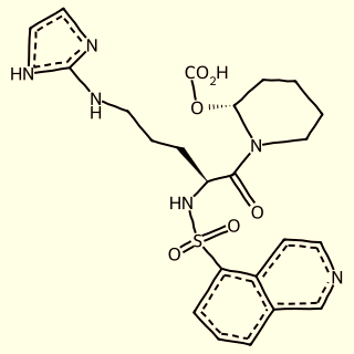 O=C(O)O[C@@H]1CCCCN1C(=O)[C@H](CCCNc1ncc[nH]1)NS(=O)(=O)c1cccc2cnccc12